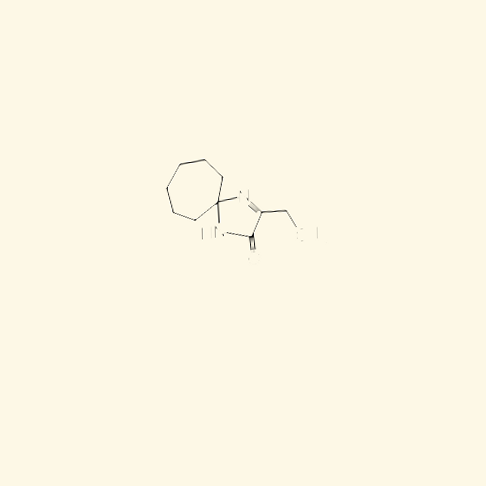 CCC1=NC2(CCCCCC2)NC1=O